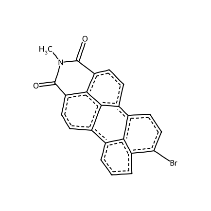 CN1C(=O)c2ccc3c4cccc5c(Br)ccc(c6ccc(c2c36)C1=O)c54